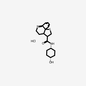 Cl.O=C(N[C@H]1CC[C@@H](O)CC1)C1CSC23C=CC=CC2=NCCC13